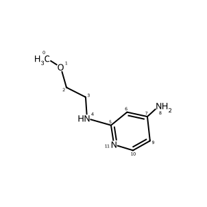 COCCNc1cc(N)ccn1